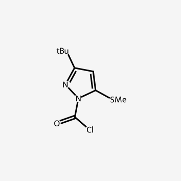 CSc1cc(C(C)(C)C)nn1C(=O)Cl